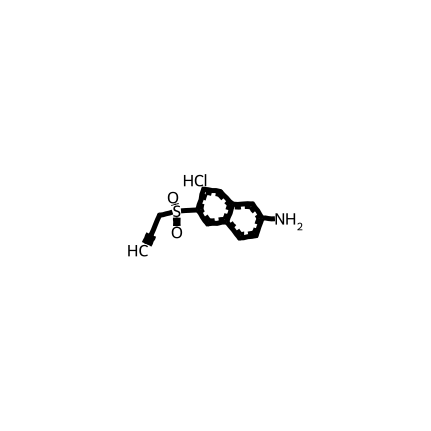 C#CCS(=O)(=O)c1ccc2cc(N)ccc2c1.Cl